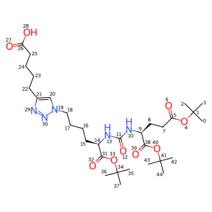 CC(C)(C)OC(=O)CC[C@H](NC(=O)N[C@H](CCCCn1cc(CCCCC(=O)O)nn1)C(=O)OC(C)(C)C)C(=O)OC(C)(C)C